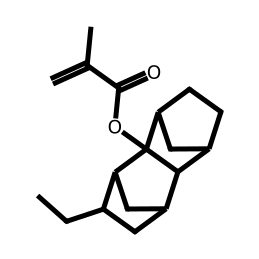 C=C(C)C(=O)OC12C3CCC(C3)C1C1CC(CC)C2C1